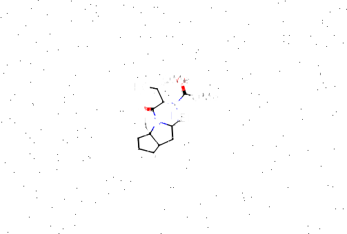 CCC1CC2CCC[C@@H]2N1C(=O)[C@@H](NC(=O)OC)[C@H](C)OC